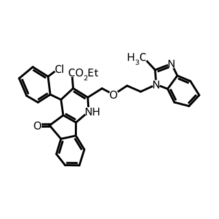 CCOC(=O)C1=C(COCCn2c(C)nc3ccccc32)NC2=C(C(=O)c3ccccc32)C1c1ccccc1Cl